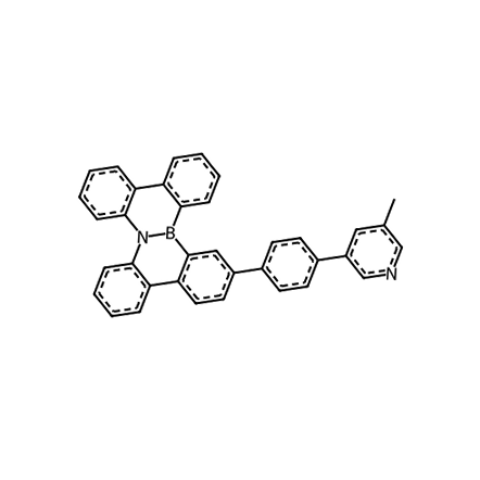 Cc1cncc(-c2ccc(-c3ccc4c(c3)B3c5ccccc5-c5ccccc5N3c3ccccc3-4)cc2)c1